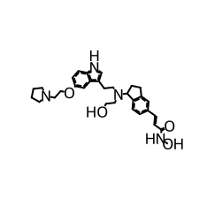 O=C(C=Cc1ccc2c(c1)CCC2N(CCO)CCc1c[nH]c2ccc(OCCN3CCCC3)cc12)NO